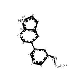 O=C(O)Nc1cncc(-c2cnc3[nH]ccc3c2)c1